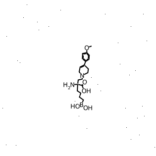 COc1ccc(C2=CCN(CCC(N)(CCCCB(O)O)C(=O)O)CC2)cc1